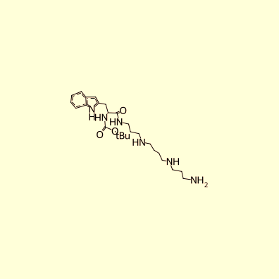 CC(C)(C)OC(=O)NC(Cc1cc2ccccc2[nH]1)C(=O)NCCCNCCCCNCCCN